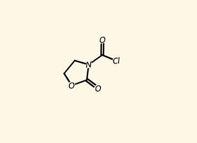 O=C(Cl)N1CCOC1=O